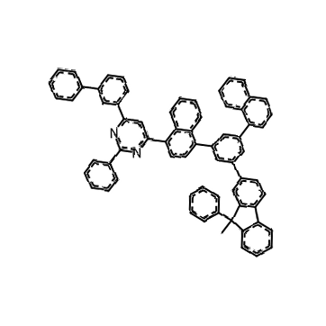 CC1(c2ccccc2)c2ccccc2-c2ccc(-c3cc(-c4cccc5ccccc45)cc(-c4ccc(-c5cc(-c6cccc(-c7ccccc7)c6)nc(-c6ccccc6)n5)c5ccccc45)c3)cc21